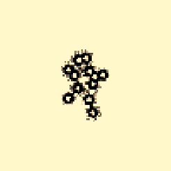 c1ccc(-c2ccc(N(c3ccc(-c4ccccc4-c4ccc(N(c5cccc6ccccc56)c5cccc6ccccc56)cc4)cc3)c3cccc(-c4ccccc4)c3)cc2)cc1